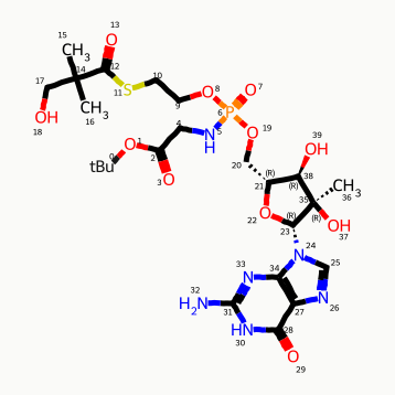 CC(C)(C)OC(=O)CNP(=O)(OCCSC(=O)C(C)(C)CO)OC[C@H]1O[C@@H](n2cnc3c(=O)[nH]c(N)nc32)[C@](C)(O)[C@@H]1O